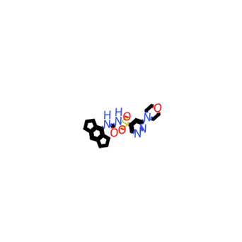 O=C(Nc1c2c(cc3c1CCC3)CCC2)NS(=O)(=O)c1cnnc(N2CCOCC2)c1